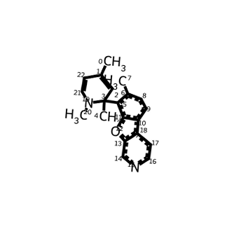 CC1=CC(C)(c2c(C)ccc3c2oc2cnccc23)N(C)C=C1